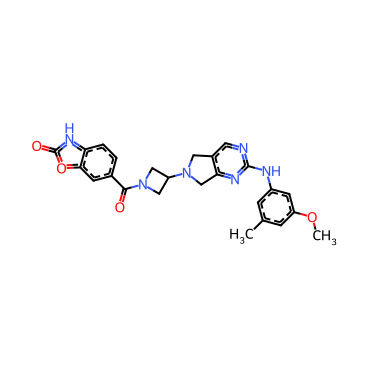 COc1cc(C)cc(Nc2ncc3c(n2)CN(C2CN(C(=O)c4ccc5[nH]c(=O)oc5c4)C2)C3)c1